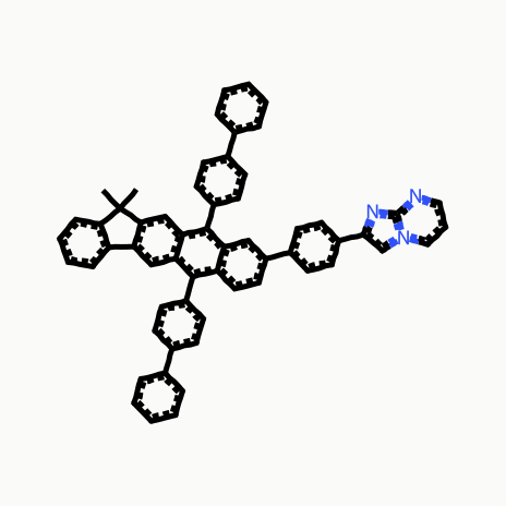 CC1(C)c2ccccc2-c2cc3c(-c4ccc(-c5ccccc5)cc4)c4ccc(-c5ccc(-c6cn7cccnc7n6)cc5)cc4c(-c4ccc(-c5ccccc5)cc4)c3cc21